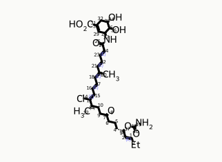 CC/C=C/[C@H](CCCC(=O)CC[C@H](C)/C(Cl)=C/C=C/C=C(C)/C=C/C=C/C(=O)NC1C=C(C(=O)O)CC(O)C1O)OC(N)=O